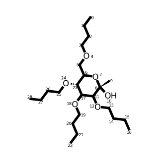 CCCCOCC1O[C@](C)(O)C(OCCCC)C(OCCCC)[C@@H]1OCCCC